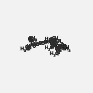 CC[C@@]1(O)C(=O)OCc2c1cc1n(c2=O)Cc2c-1nc1cc(F)c(C)c3c1c2[C@@H](N(Cc1ccc(NC(=O)[C@H](C)NC(=O)[C@@H](NC(=O)CCOCCOCCOCCOCCOCCNC(=O)c2cc(-c4cnc(S(C)(=O)=O)nc4)cc(-c4cnc(S(C)(=O)=O)nc4)c2)C(C)C)cc1CNC)C(=O)O)CC3